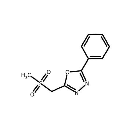 CS(=O)(=O)Cc1nnc(-c2ccccc2)o1